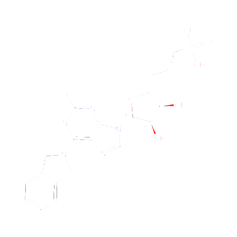 O=P(O)(O)COC[C@H]1O[C@@H](n2cnc3c(N4Cc5ccccc5C4)nc(Cl)nc32)[C@H](O)[C@@H]1O